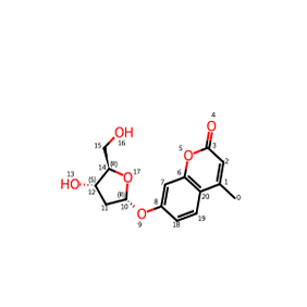 Cc1cc(=O)oc2cc(O[C@@H]3C[C@H](O)[C@@H](CO)O3)ccc12